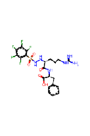 N=C(N)NCCC[C@H](NNS(=O)(=O)c1c(F)c(F)c(F)c(F)c1F)C(=O)N[C@@H](Cc1ccccc1)C(=O)O